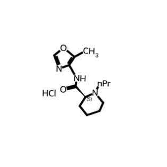 CCCN1CCCC[C@H]1C(=O)Nc1ncoc1C.Cl